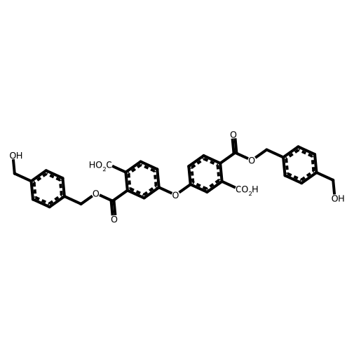 O=C(O)c1cc(Oc2ccc(C(=O)O)c(C(=O)OCc3ccc(CO)cc3)c2)ccc1C(=O)OCc1ccc(CO)cc1